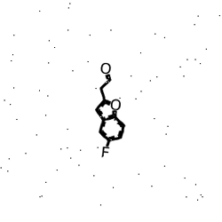 O=CCc1cc2cc(F)ccc2o1